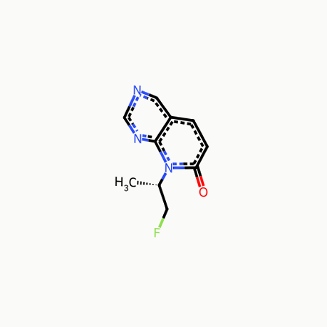 C[C@@H](CF)n1c(=O)ccc2cncnc21